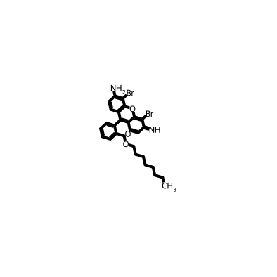 CCCCCCCCOC(=O)c1ccccc1-c1c2ccc(=N)c(Br)c-2oc2c(Br)c(N)ccc12